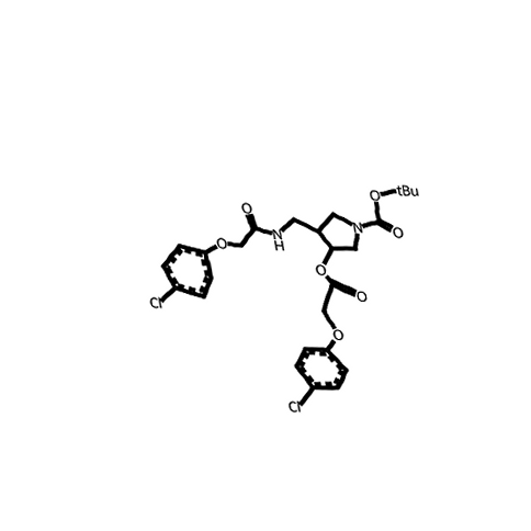 CC(C)(C)OC(=O)N1CC(CNC(=O)COc2ccc(Cl)cc2)C(OC(=O)COc2ccc(Cl)cc2)C1